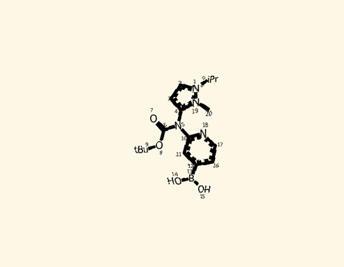 CC(C)[n+]1ccc(N(C(=O)OC(C)(C)C)c2cc(B(O)O)ccn2)n1C